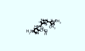 Cc1ncc(N)cc1NC(=O)c1cnn2cc(-c3cn(C)nc3C)sc12.Cl